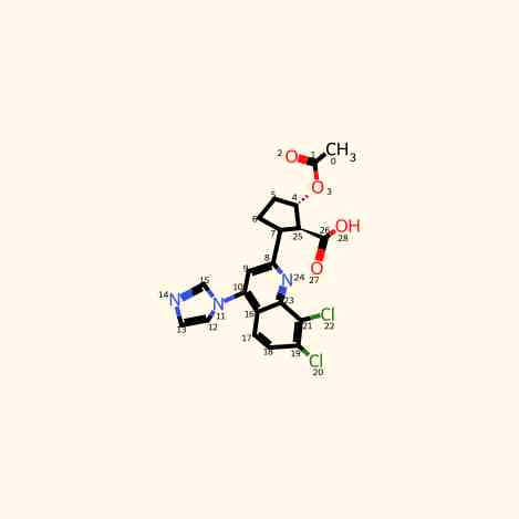 CC(=O)O[C@H]1CCC(c2cc(-n3ccnc3)c3ccc(Cl)c(Cl)c3n2)[C@@H]1C(=O)O